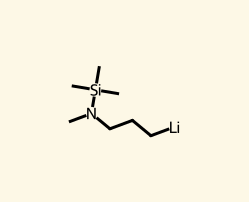 [Li][CH2]CCN(C)[Si](C)(C)C